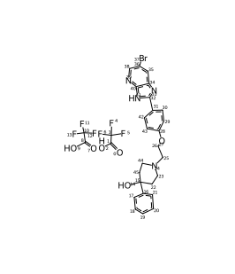 O=C(O)C(F)(F)F.O=C(O)C(F)(F)F.OC1(c2ccccc2)CCN(CCOc2ccc(-c3nc4cc(Br)cnc4[nH]3)cc2)CC1